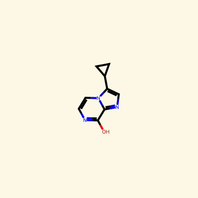 Oc1nccn2c(C3CC3)cnc12